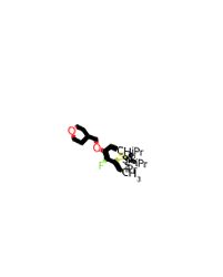 C=C/C(OCC1CCOCC1)=C(F)\C(=C\C)S[Si](C(C)C)(C(C)C)C(C)C